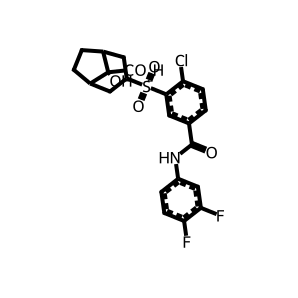 O=C(Nc1ccc(F)c(F)c1)c1ccc(Cl)c(S(=O)(=O)C2CC3CCC(C2)C3(O)C(=O)O)c1